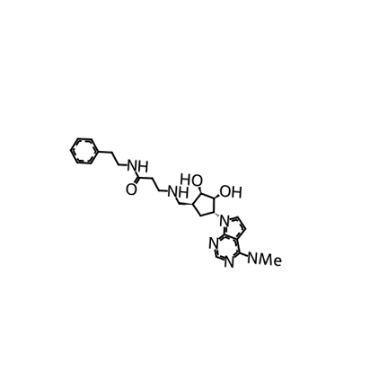 CNc1ncnc2c1ccn2[C@@H]1C[C@@H](CNCCC(=O)NCCc2ccccc2)[C@@H](O)[C@H]1O